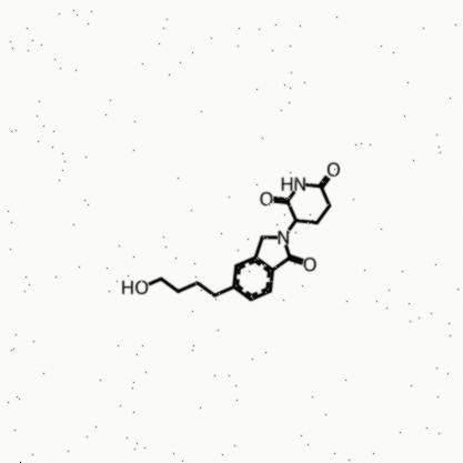 O=C1CCC(N2Cc3cc(CCCCO)ccc3C2=O)C(=O)N1